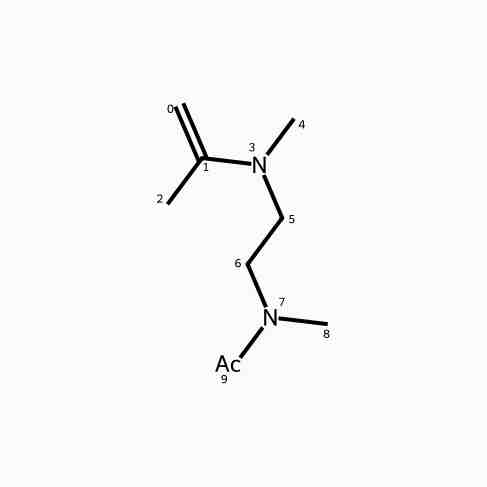 C=C(C)N(C)CCN(C)C(C)=O